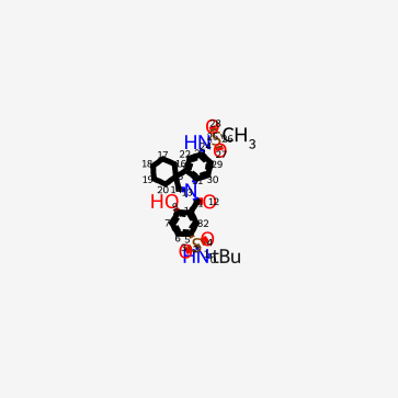 CC(C)(C)NS(=O)(=O)c1ccc(O)c(C(=O)N2CC3(CCCCC3)c3cc(NS(C)(=O)=O)ccc32)c1